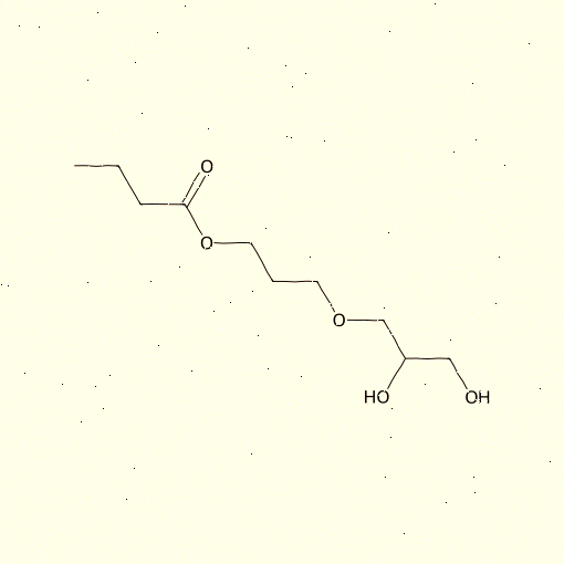 CCCC(=O)OCCCOCC(O)CO